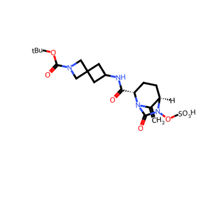 C=C1[C@H]2CC[C@@H](C(=O)NC3CC4(C3)CN(C(=O)OC(C)(C)C)C4)N1C(=O)N2OS(=O)(=O)O